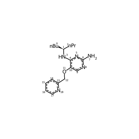 CCCC[C@@H](CCC)Nc1nc(N)ncc1OCc1ccccn1